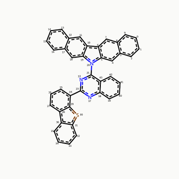 c1ccc2cc3c(cc2c1)c1cc2ccccc2cc1n3-c1nc(-c2cccc3c2sc2ccccc23)nc2ccccc12